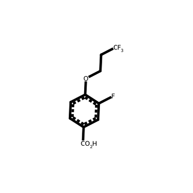 O=C(O)c1ccc(OCCC(F)(F)F)c(F)c1